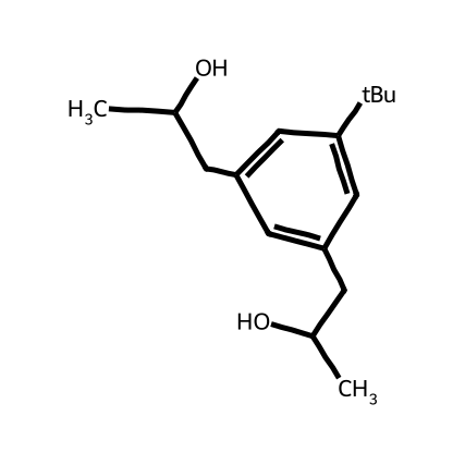 CC(O)Cc1cc(CC(C)O)cc(C(C)(C)C)c1